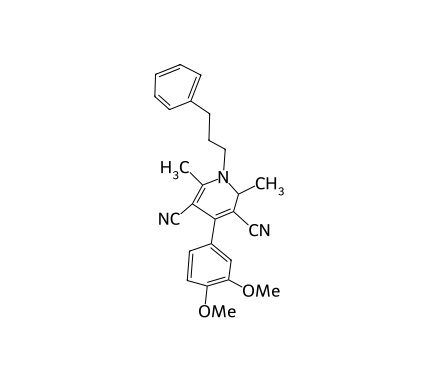 COc1ccc(C2=C(C#N)C(C)N(CCCc3ccccc3)C(C)=C2C#N)cc1OC